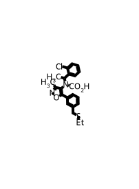 CCSCc1cccc(-c2onc(C)c2N(C(=O)O)C(C)c2ccccc2Cl)c1